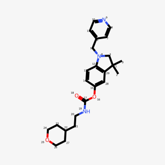 CC1(C)CN(Cc2ccncc2)c2ccc(OC(=O)NCCC3CCOCC3)cc21